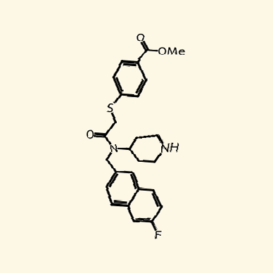 COC(=O)c1ccc(SCC(=O)N(Cc2ccc3cc(F)ccc3c2)C2CCNCC2)cc1